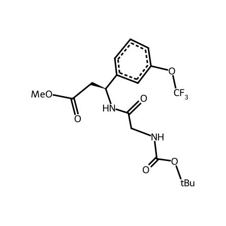 COC(=O)C[C@H](NC(=O)CNC(=O)OC(C)(C)C)c1cccc(OC(F)(F)F)c1